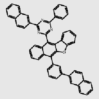 c1ccc(-c2nc(-c3ccc4ccccc4c3)nc(-c3c4ccccc4c(-c4cccc(-c5ccc6ccccc6c5)c4)c4oc5ccccc5c34)n2)cc1